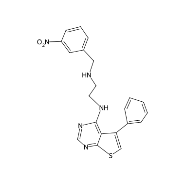 O=[N+]([O-])c1cccc(CNCCNc2ncnc3scc(-c4ccccc4)c23)c1